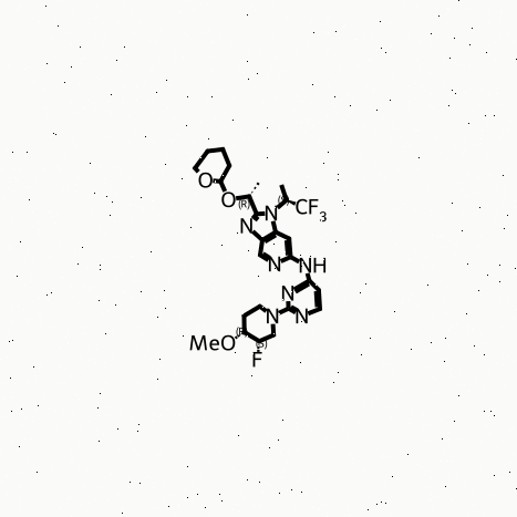 CO[C@@H]1CCN(c2nccc(Nc3cc4c(cn3)nc([C@@H](C)OC3CCCCO3)n4[C@@H](C)C(F)(F)F)n2)C[C@@H]1F